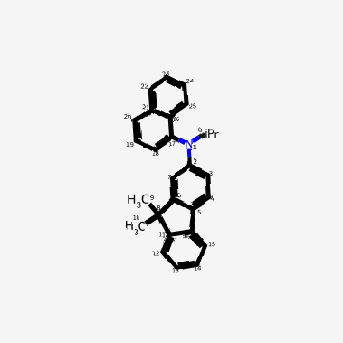 CC(C)N(c1ccc2c(c1)C(C)(C)c1ccccc1-2)c1cccc2ccccc12